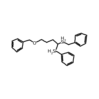 c1ccc(COCCCC([SiH2]Cc2ccccc2)[SiH2]c2ccccc2)cc1